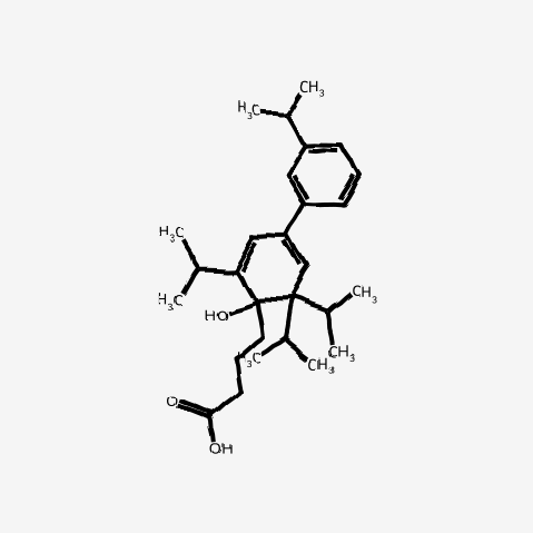 CC(C)C1=CC(c2cccc(C(C)C)c2)=CC(C(C)C)(C(C)C)C1(O)CCCC(=O)O